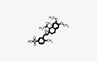 COc1cc2c(cc1OC)[C@H](C(C)C)[C@](O)(CCc1cc(S(=O)(=O)O)ccc1C)CC2